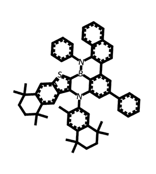 Cc1cc2c(cc1N1c3cc(-c4ccccc4)cc4c3B(c3sc5cc6c(cc5c31)C(C)(C)CCC6(C)C)N(c1ccccc1)c1c-4ccc3ccccc13)C(C)(C)CCC2(C)C